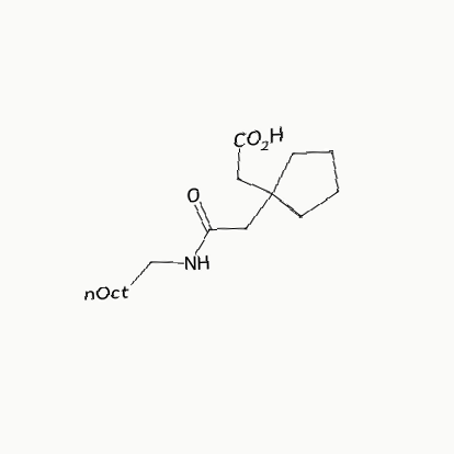 CCCCCCCCCNC(=O)CC1(CC(=O)O)CCCC1